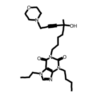 CCCCn1c(=O)n(CCCCC(C)(O)C#CCN2CCOCC2)c(=O)c2c1ncn2CCC